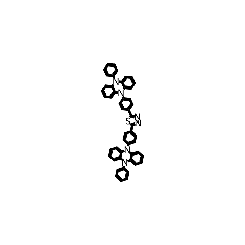 c1ccc(N2c3ccccc3N(c3ccc(-c4nnc(-c5ccc(N6c7ccccc7N(c7ccccc7)c7ccccc76)cc5)s4)cc3)c3ccccc32)cc1